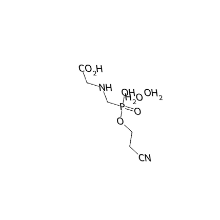 N#CCCOP(=O)(O)CNCC(=O)O.O.O